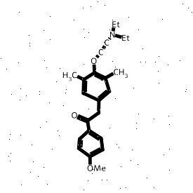 CCN(CC)CCOc1c(C)cc(CC(=O)c2ccc(OC)cc2)cc1C